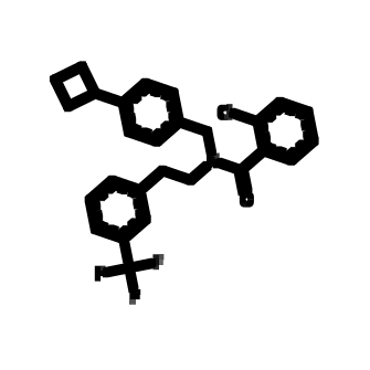 O=C(c1ccccc1Cl)N(CCc1cccc(C(F)(F)F)c1)Cc1ccc(C2CCC2)cc1